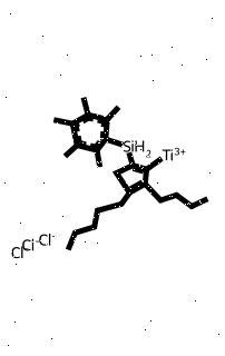 CCCCCC1=C(CCCC)[C]([Ti+3])=C([SiH2]c2c(C)c(C)c(C)c(C)c2C)C1.[Cl-].[Cl-].[Cl-]